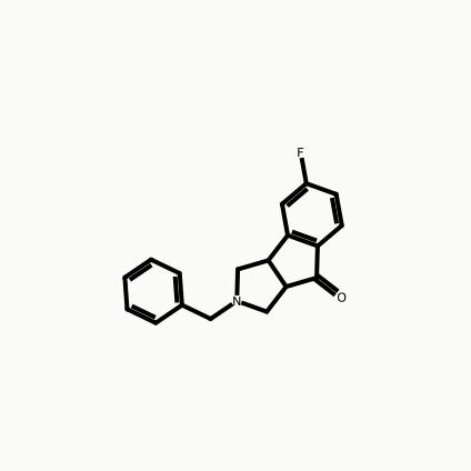 O=C1c2ccc(F)cc2C2CN(Cc3ccccc3)CC12